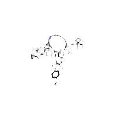 COc1ccc2nc(C)c(O[C@@H]3C[C@H]4C(=O)N[C@]5(C(=O)NS(=O)(=O)C6(C)CC6)CC5/C=C\CCCCC[C@H](NC(=O)OC5(C(F)(F)F)CCC5)C(=O)N4C3)nc2c1